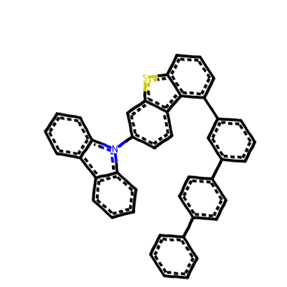 c1ccc(-c2ccc(-c3cccc(-c4cccc5sc6cc(-n7c8ccccc8c8ccccc87)ccc6c45)c3)cc2)cc1